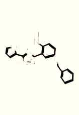 Nc1ccc(OCc2ccccc2)cc1-c1n[nH]c(-c2ccco2)n1